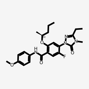 CCC[C@H](C)Oc1cc(-n2nc(CC)n(C)c2=O)c(F)cc1C(=O)Nc1ccc(OC)cc1